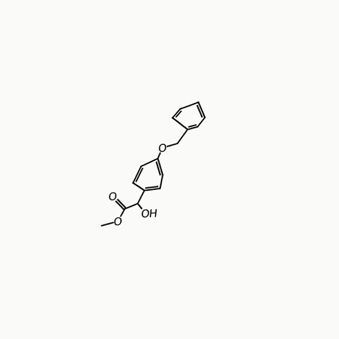 COC(=O)C(O)c1ccc(OCc2ccccc2)cc1